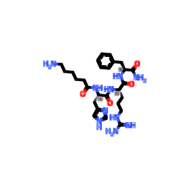 N=C(N)NCCC[C@H](NC(=O)[C@H](Cc1c[nH]cn1)NC(=O)CCCCCN)C(=O)N[C@@H](Cc1ccccc1)C(N)=O